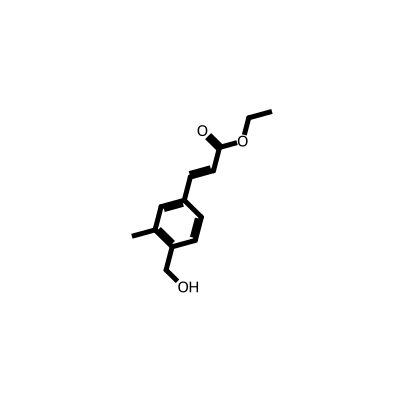 CCOC(=O)/C=C/c1ccc(CO)c(C)c1